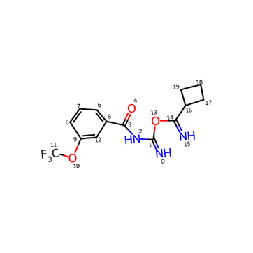 N=C(NC(=O)c1cccc(OC(F)(F)F)c1)OC(=N)C1CCC1